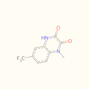 Cn1c(=O)c(=O)[nH]c2cc(C(F)(F)F)ccc21